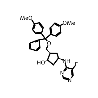 COc1ccc(C(OC[C@H]2C[C@@H](Nc3ncncc3F)C[C@@H]2O)(c2ccccc2)c2ccc(OC)cc2)cc1